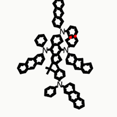 CC1(C)c2cc(N(c3ccccc3)c3ccc4cc5ccccc5cc4c3)ccc2-c2cc3c(N(c4ccccc4)c4ccc5cc6ccccc6cc5c4)c4cc(N(c5ccccc5)c5ccc6cc7ccccc7cc6c5)ccc4c(N(c4ccccc4)c4ccc5cc6ccccc6cc5c4)c3cc21